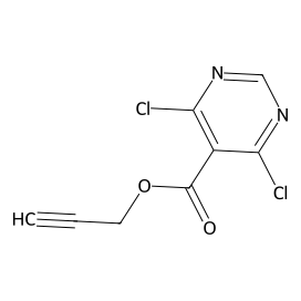 C#CCOC(=O)c1c(Cl)ncnc1Cl